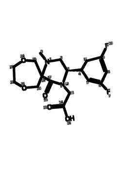 CN1C[C@@H](C2C=C(F)C=C(F)C2)N(CC(=O)O)C(=O)C12COCCOC2